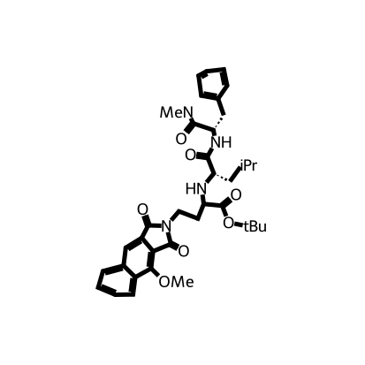 CNC(=O)[C@H](Cc1ccccc1)NC(=O)[C@H](CC(C)C)NC(CCN1C(=O)c2cc3ccccc3c(OC)c2C1=O)C(=O)OC(C)(C)C